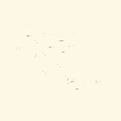 COC1=C(C)C(=O)C2=C(C1=O)C(CNC(=O)C(C)NC(=O)OC(C)(C)C)N1C(C2)C2c3c(cc(C)c(OC)c3O)CC([C@@H]1C#N)N2C